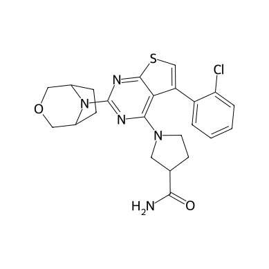 NC(=O)C1CCN(c2nc(N3C4CCC3COC4)nc3scc(-c4ccccc4Cl)c23)C1